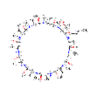 C/C=C/C[C@H]1C[C@@]1(O)[C@H]1C(=O)N[C@@H](CC)C(=O)N(C)CC(=O)N(C)[C@@H](CC(C)C)C(=O)N[C@@H](C(C)C)C(=O)N(C)[C@@H](CC(C)C)C(=O)N[C@@H](C)C(=O)N[C@H](C)C(=O)N(C)[C@@H](CC(C)C)C(=O)N(C)[C@@H](CC(C)C)C(=O)N(C)[C@H](C(C)C)C(=O)N1C